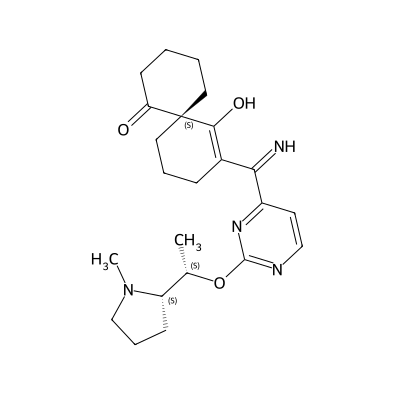 C[C@H](Oc1nccc(C(=N)C2=C(O)[C@]3(CCCCC3=O)CCC2)n1)[C@@H]1CCCN1C